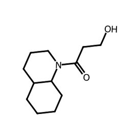 O=C(CCO)N1CCCC2CCCCC21